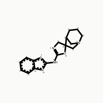 c1ccc2sc(NC3=NCC4(CN5CCCC4C5)O3)nc2c1